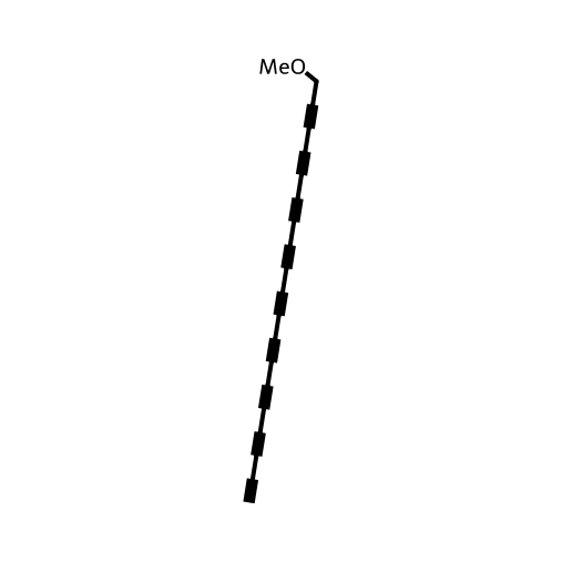 C#CC#CC#CC#CC#CC#CC#CC#CC#CCOC